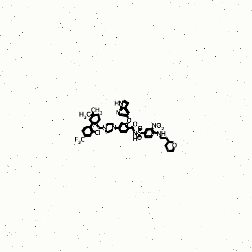 CC1(C)CCC(CN2CCN(c3ccc(C(=O)NS(=O)(=O)c4ccc(NCCC5CCCOC5)c([N+](=O)[O-])c4)c(Oc4cnc5[nH]ccc5c4)c3)CC2)=C(c2ccc(C(F)(F)F)cc2Cl)C1